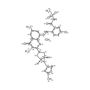 Cc1cc([C@@H](C)Nc2ccc(Cl)nc2C(=O)NS(C)(=O)=O)c2nc(N3C[C@@H]4C(c5noc(C)n5)[C@@H]4C3)n(C)c(=O)c2c1